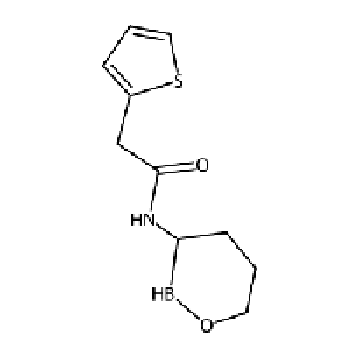 O=C(Cc1cccs1)NC1BOCCC1